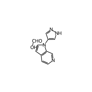 O=CO.c1cc2ccn(-c3cn[nH]c3)c2cn1